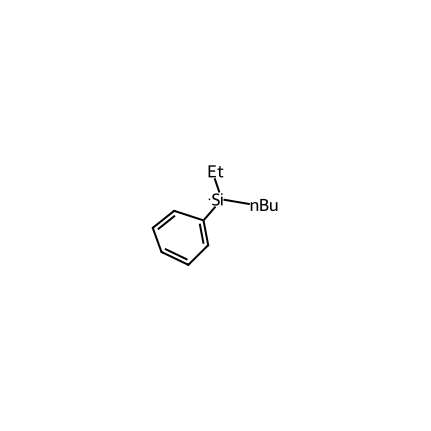 CCCC[Si](CC)c1ccccc1